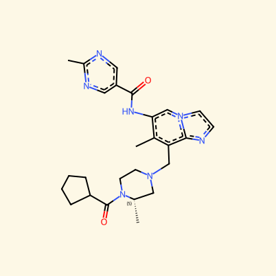 Cc1ncc(C(=O)Nc2cn3ccnc3c(CN3CCN(C(=O)C4CCCC4)[C@@H](C)C3)c2C)cn1